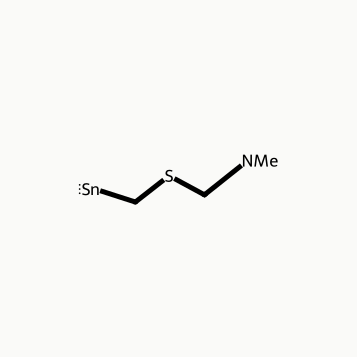 CNCS[CH2][Sn]